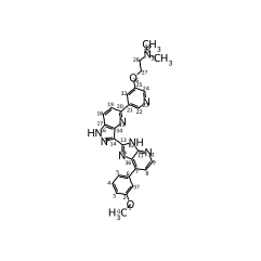 COc1cccc(-c2ccnc3[nH]c(-c4n[nH]c5ccc(-c6cncc(OCCN(C)C)c6)nc45)nc23)c1